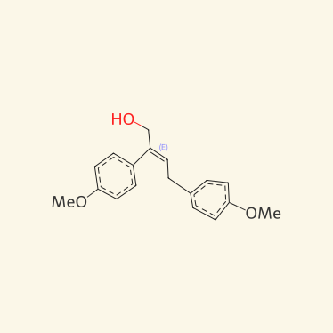 COc1ccc(C/C=C(/CO)c2ccc(OC)cc2)cc1